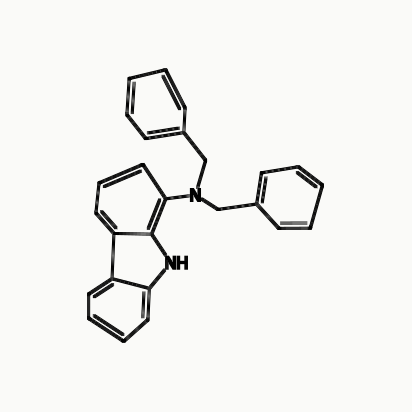 c1ccc(CN(Cc2ccccc2)c2cccc3c2[nH]c2ccccc23)cc1